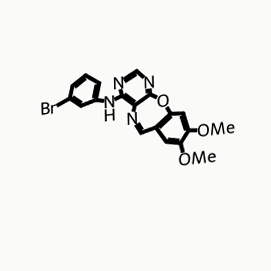 COc1cc2c(cc1OC)Oc1ncnc(Nc3cccc(Br)c3)c1N=C2